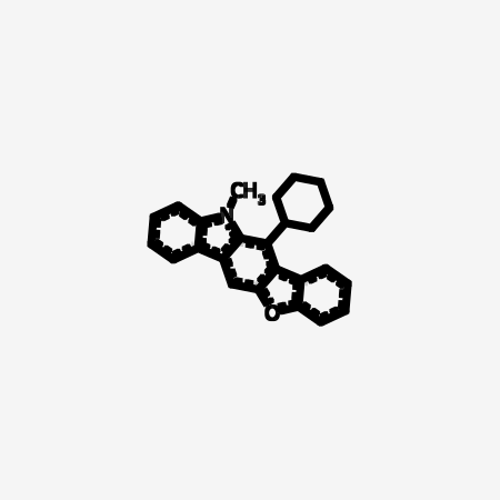 Cn1c2ccccc2c2cc3oc4ccccc4c3c(C3CCCCC3)c21